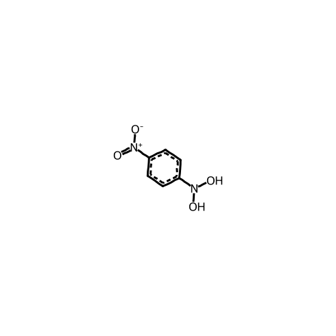 O=[N+]([O-])c1ccc(N(O)O)cc1